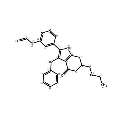 CSNCC1CC(=O)c2c([nH]c(-c3ccnc(NC=O)c3)c2Nc2ccccc2)C1